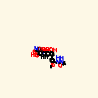 CCOc1ccc(-c2ccc(O)c3c2C[C@H]2C[C@H]4CC(O)=C(C(N)=O)C(=O)[C@@]4(O)C(O)=C2C3=O)cc1CNC(=O)NC(C)(C)C